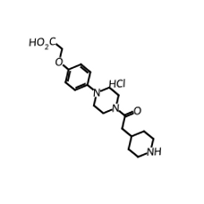 Cl.O=C(O)COc1ccc(N2CCN(C(=O)CC3CCNCC3)CC2)cc1